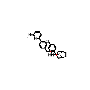 Nc1cccc(-c2ccc(CCNC3CC4CCC(C3)N4Cc3ccc(Cl)cc3)cc2)n1